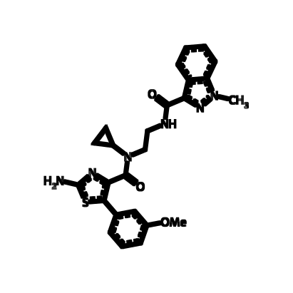 COc1cccc(-c2sc(N)nc2C(=O)N(CCNC(=O)c2nn(C)c3ccccc23)C2CC2)c1